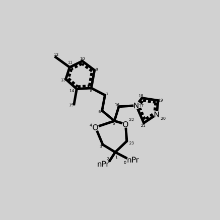 CCCC1(CCC)COC(CCc2ccc(C)cc2C)(Cn2ccnc2)OC1